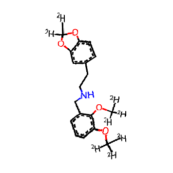 [2H]C([2H])([2H])Oc1cccc(CNCCc2ccc3c(c2)OC([2H])([2H])O3)c1OC([2H])([2H])[2H]